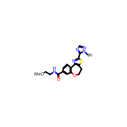 COCCNC(=O)c1ccc2c(c1)OCCc1sc(-c3ncnn3C(C)C)nc1-2